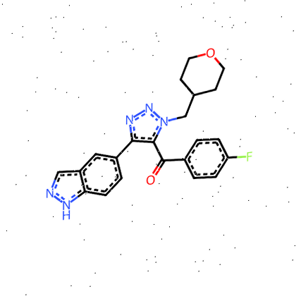 O=C(c1ccc(F)cc1)c1c(-c2ccc3[nH]ncc3c2)nnn1CC1CCOCC1